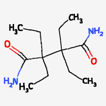 CCC(CC)(C(N)=O)C(CC)(CC)C(N)=O